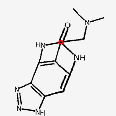 CN(C)CCc1c2cc3[nH]nnc3c1NC(=O)N2